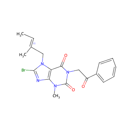 C/C=C(\C)Cn1c(Br)nc2c1c(=O)n(CC(=O)c1ccccc1)c(=O)n2C